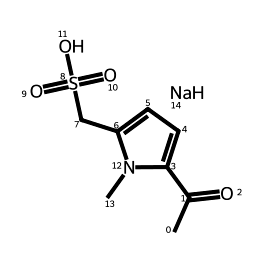 CC(=O)c1ccc(CS(=O)(=O)O)n1C.[NaH]